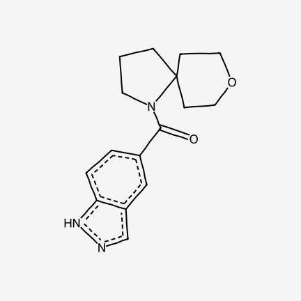 O=C(c1ccc2[nH]ncc2c1)N1CCCC12CCOCC2